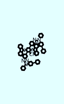 N#Cc1c(-c2ccc3nc4n(-c5ccccc5)c5ccc(-c6ccccc6)cc5n4c3c2)c(-n2c3ccccc3c3ccccc32)cc(-c2ccc3nc4n(-c5ccccc5)c5ccc(-c6ccccc6)cc5n4c3c2)c1-n1c2ccccc2c2ccccc21